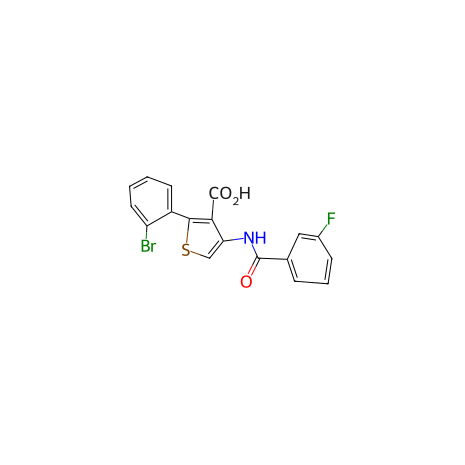 O=C(Nc1csc(-c2ccccc2Br)c1C(=O)O)c1cccc(F)c1